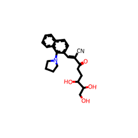 N#C/C(=C\c1ccc2ccccc2c1N1CCCC1)C(=O)CCC(O)C(O)CO